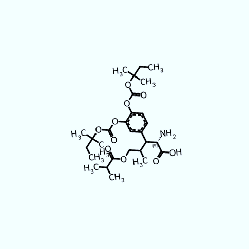 CCC(C)(C)OC(=O)Oc1ccc(C(C(C)COC(=O)C(C)C)[C@H](N)C(=O)O)cc1OC(=O)OC(C)(C)CC